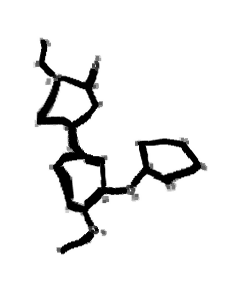 CCN1CC(c2ccc(OC)c(OC3CCCC3)c2)CC1=O